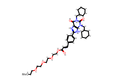 COCCOCCOCCOCCOC(=O)/C=C/c1ccc(-c2nc3c(=O)n(CC4CCCCC4)c(=O)n(CC4CCCCC4)c3[nH]2)cc1